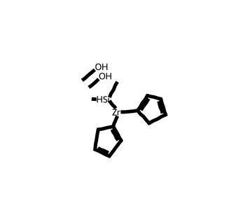 CO.CO.C[SiH](C)[Zr]([C]1=CC=CC1)[C]1=CC=CC1